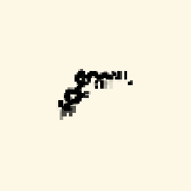 NCC[C@@H](O)CN1CCC(c2ccc(C(F)(F)F)cc2F)C1